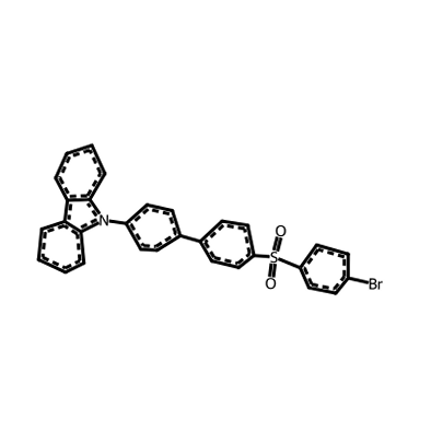 O=S(=O)(c1ccc(Br)cc1)c1ccc(-c2ccc(-n3c4ccccc4c4ccccc43)cc2)cc1